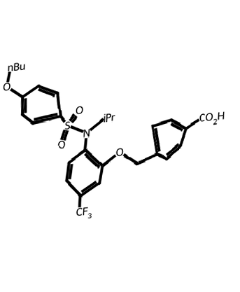 CCCCOc1ccc(S(=O)(=O)N(c2ccc(C(F)(F)F)cc2OCc2ccc(C(=O)O)cc2)C(C)C)cc1